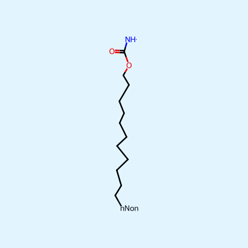 CCCCCCCCCCCCCCCCCCCCOC([NH])=O